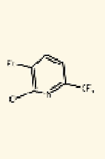 CCc1ccc(C(F)(F)F)nc1Cl